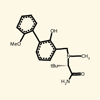 COc1ccccc1-c1cccc(CN(C)[C@H](C(N)=O)C(C)(C)C)c1O